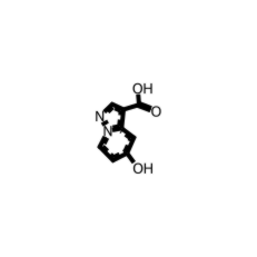 O=C(O)c1cnn2ccc(O)cc12